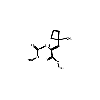 CC1(C=C(NC(=O)OC(C)(C)C)C(=O)OC(C)(C)C)CCC1